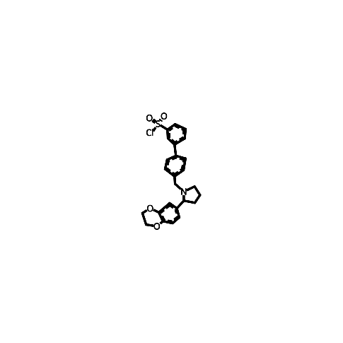 O=S(=O)(Cl)c1cccc(-c2ccc(CN3CCCC3c3ccc4c(c3)OCCO4)cc2)c1